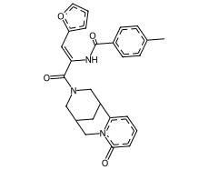 Cc1ccc(C(=O)N/C(=C\c2ccco2)C(=O)N2CC3CC(C2)c2cccc(=O)n2C3)cc1